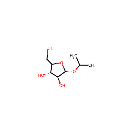 CC(C)O[C@H]1OC(CO)[C@@H](O)[C@@H]1O